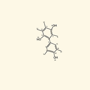 Cc1cc(-c2c(C)c(O)c(C)c(C)c2O)cc(C)c1O